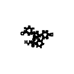 NS(=O)(=O)c1ccccc1-n1nc(-c2cccc(Cl)c2)cc1-c1ccc(Cl)cc1